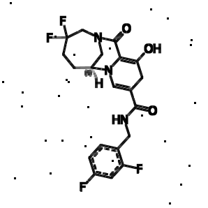 O=C(NCc1ccc(F)cc1F)C1=CN2C(=C(O)C1)C(=O)N1C[C@@H]2CCC(F)(F)C1